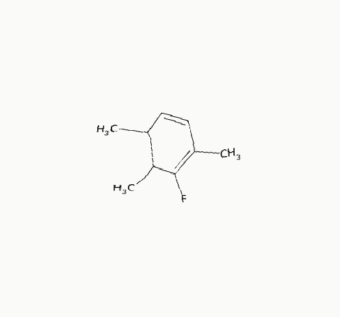 CC1=C(F)C(C)C(C)C=C1